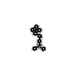 c1ccc(-c2nc(-c3ccccc3)nc(-c3ccc(-c4cccc(-c5cccc6c5-c5ccccc5C65c6ccccc6-c6ccccc65)c4)cc3)n2)cc1